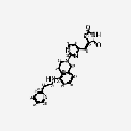 O=C1NC(=O)/C(=C/c2ccnc(N3CCc4c(cccc4NCCc4ccccn4)C3)n2)S1